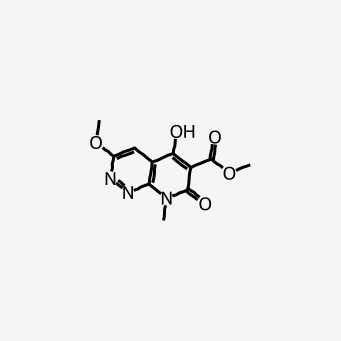 COC(=O)c1c(O)c2cc(OC)nnc2n(C)c1=O